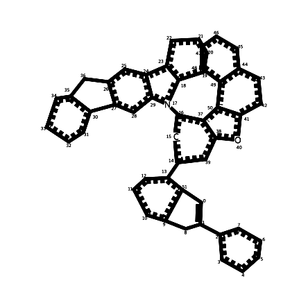 C1=C(c2ccccc2)Cc2cccc(-c3cc(-n4c5ccccc5c5cc6c(cc54)-c4ccccc4C6)c4c(c3)oc3ccc5ccccc5c34)c21